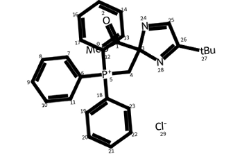 COC(=O)C1(C[P+](c2ccccc2)(c2ccccc2)c2ccccc2)N=CC(C(C)(C)C)=N1.[Cl-]